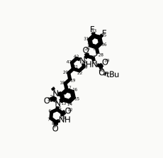 Cn1c(=O)n(C2CCC(=O)NC2=O)c2cccc(CCCC3CCN(C(=O)[C@H](Cc4ccc(F)c(F)c4)NC(=O)OC(C)(C)C)CC3)c21